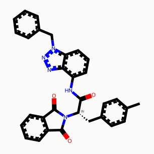 Cc1ccc(C[C@@H](C(=O)Nc2cccc3c2nnn3Cc2ccccc2)N2C(=O)c3ccccc3C2=O)cc1